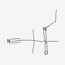 CCN=S(C)(=O)C(C)(C)C#N